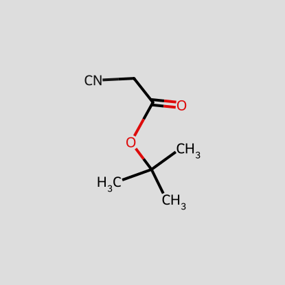 [C-]#[N+]CC(=O)OC(C)(C)C